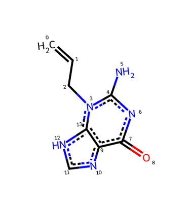 C=CCn1c(N)nc(=O)c2nc[nH]c21